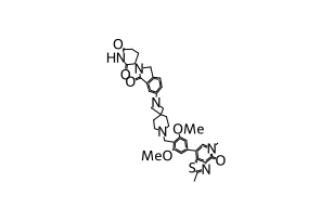 COc1cc(-c2cn(C)c(=O)c3nc(C)sc23)cc(OC)c1CN1CCC2(CC1)CN(c1ccc3c(c1)C(=O)N(C1CCC(=O)NC1=O)C3)C2